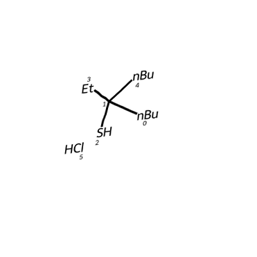 CCCCC(S)(CC)CCCC.Cl